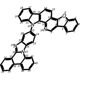 c1ccc2c(c1)oc1c2cnc2c1ccc1c3ccccc3n(-c3ccc4c(c3)nc3c5ccccc5c5ccccc5n43)c12